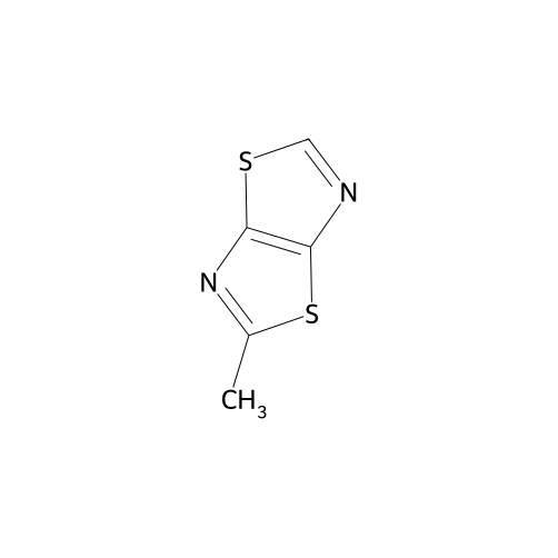 Cc1nc2scnc2s1